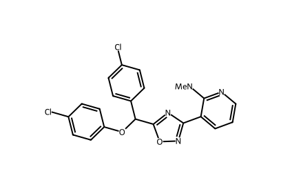 CNc1ncccc1-c1noc(C(Oc2ccc(Cl)cc2)c2ccc(Cl)cc2)n1